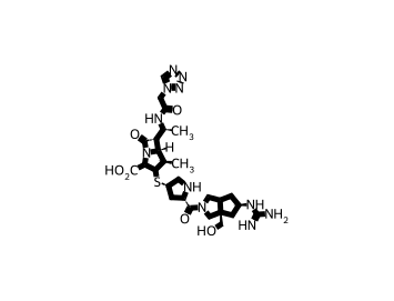 C[C@@H](NC(=O)Cn1cnnn1)[C@H]1C(=O)N2C(C(=O)O)C(S[C@@H]3CN[C@H](C(=O)N4CC5C[C@@H](NC(=N)N)C[C@]5(CO)C4)C3)[C@H](C)[C@H]12